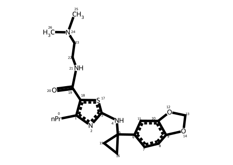 CCCc1nc(NC2(c3ccc4c(c3)OCO4)CC2)sc1C(=O)NCCN(C)C